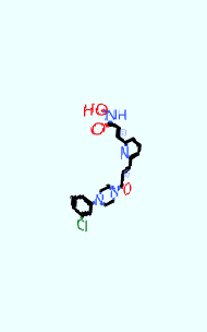 O=C(/C=C/c1cccc(/C=C/C(=O)N2CCN(c3cccc(Cl)c3)CC2)n1)NO